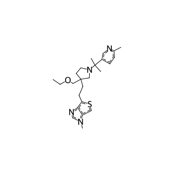 CCOCC1(CCc2scc3c2ncn3C)CCN(C(C)(C)c2ccc(C)nc2)C1